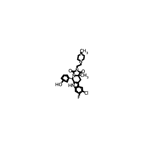 CN1CCN(CCN2C(=O)N3[C@H](c4cccc(O)c4)c4[nH]c5cc(F)c(Cl)cc5c4C[C@@]3(C)C2=O)CC1